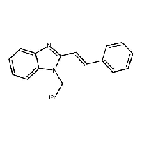 CC(C)Cn1c(/C=C/c2ccccc2)nc2ccccc21